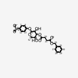 C[C@@H]1O[C@H](Oc2ccc([N+](=O)[O-])cc2)[C@@H](O)[C@H](OC(=O)CCC(=O)OCc2ccccc2)[C@@H]1O